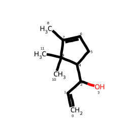 C=CC(O)C1CC=C(C)C1(C)C